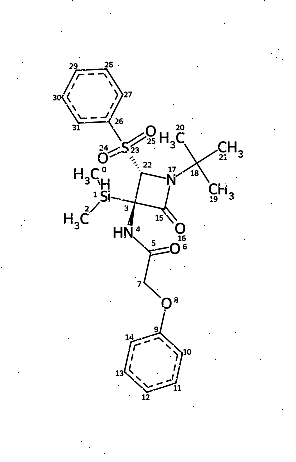 C[SiH](C)[C@@]1(NC(=O)COc2ccccc2)C(=O)N(C(C)(C)C)[C@H]1S(=O)(=O)c1ccccc1